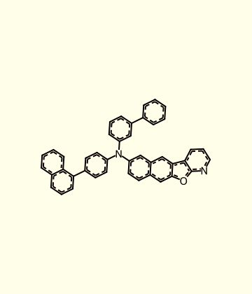 c1ccc(-c2cccc(N(c3ccc(-c4cccc5ccccc45)cc3)c3ccc4cc5oc6ncccc6c5cc4c3)c2)cc1